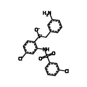 Nc1cccc(C[S+]([O-])c2ccc(Cl)cc2NS(=O)(=O)c2cccc(Cl)c2)c1